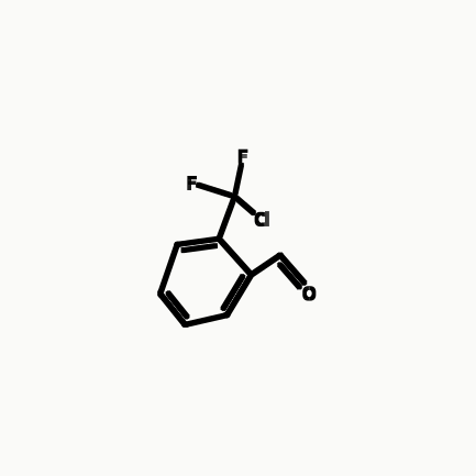 O=Cc1ccccc1C(F)(F)Cl